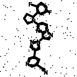 N#Cc1cncc(-c2cnn(-c3cnn4ccc(N5CCCC5c5cc(F)ccc5F)nc34)c2)c1